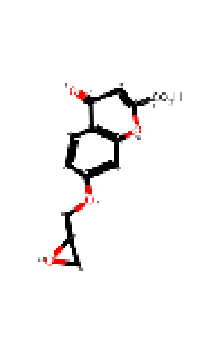 O=C(O)c1cc(=O)c2ccc(OCC3CO3)cc2o1